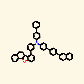 c1ccc(-c2ccc(N(c3ccc(-c4ccc(-c5ccc6ccccc6c5)cc4)cc3)c3cccc(-c4cccc5oc6c7ccccc7ccc6c45)c3)cc2)cc1